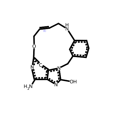 Nc1nc2cc3c1nc(O)n3Cc1cccc(c1)NC/C=C/CO2